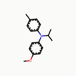 COc1ccc(N(c2ccc(C)cc2)C(C)C)cc1